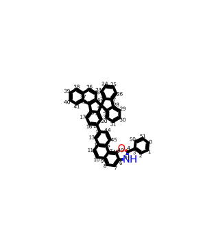 c1ccc(C2Nc3ccc4ccc5cc(-c6ccc7c(c6)C6(c8ccccc8-c8ccccc86)c6ccc8ccccc8c6-7)ccc5c4c3O2)cc1